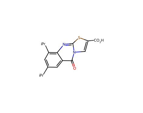 CC(C)c1cc(C(C)C)c2nc3sc(C(=O)O)cn3c(=O)c2c1